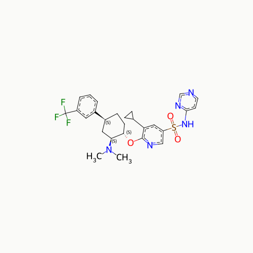 CN(C)[C@H]1C[C@@H](c2cccc(C(F)(F)F)c2)CC[C@@H]1Oc1ncc(S(=O)(=O)Nc2ccncn2)cc1C1CC1